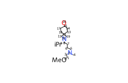 COCCN(C)CCC[C@H](C(C)C)N1CC2(CCC(=O)CC2)C1